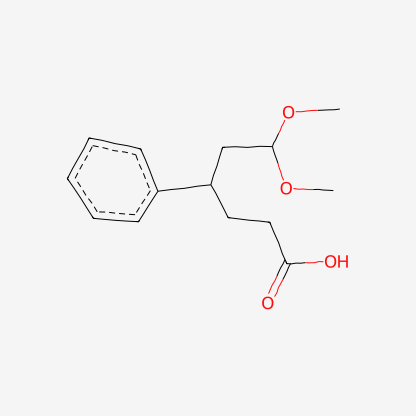 COC(CC(CCC(=O)O)c1ccccc1)OC